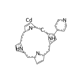 C1=Cc2cc3cc(-c4ccncc4)c(cc4nc(cc5ccc(cc1n2)[nH]5)C=C4)[nH]3.[Cd]